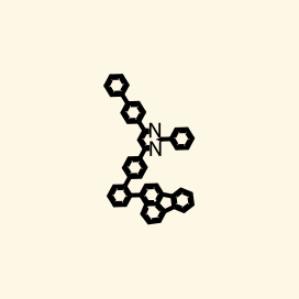 c1ccc(-c2ccc(-c3cc(-c4ccc(-c5ccccc5-c5ccc6c7c(cccc57)-c5ccccc5-6)cc4)nc(-c4ccccc4)n3)cc2)cc1